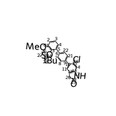 COc1cccc(-c2ccc(-c3cc4c(cc3Cl)NC(=O)C4)cc2)c1O[Si](C)(C)C(C)(C)C